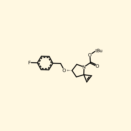 CC(C)(C)OC(=O)N1C[C@@H](OCc2ccc(F)cc2)CC12C=C2